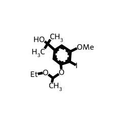 CCOC(C)Oc1cc(C(C)(C)O)cc(OC)c1I